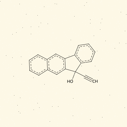 C#CC1(O)c2ccccc2-c2cc3ccccc3cc21